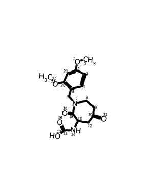 COc1ccc(CN2CCC(=O)CC(NC(=O)O)C2=O)c(OC)c1